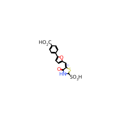 O=C1NC(S(=O)(=O)O)S/C1=C/c1ccc(-c2ccc(C(=O)O)cc2)o1